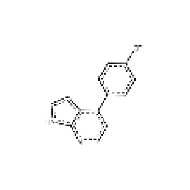 FC(F)(F)c1ccc(-c2ccnc3[nH]ccc23)cc1